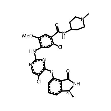 COc1cc(C(=O)NC2CCN(C)CC2)c(Cl)cc1Nc1ncc(Cl)c(Oc2cccc3c2C(=O)N[C@H]3C)n1